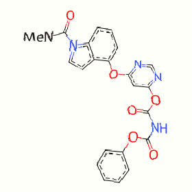 CNC(=O)n1ccc2c(Oc3cc(OC(=O)NC(=O)Oc4ccccc4)ncn3)cccc21